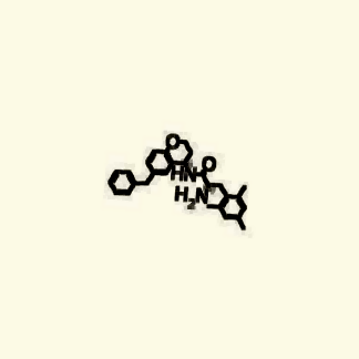 Cc1cc(C)c(C[C@H](N)C(=O)N[C@@H]2CCOc3ccc(Cc4ccccc4)cc32)c(C)c1